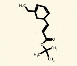 CCC1=CC=CC(C=CC(=O)OC(C)(C)C)C1